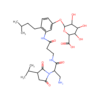 CC(C)CCc1ccc(OC2OC(C(=O)O)C(O)C(O)C2O)cc1NC(=O)CCNC(=O)C(CN)N1C(=O)CC(C(C)C)C1=O